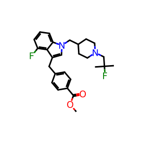 COC(=O)c1ccc(Cc2cn(CC3CCN(CC(C)(C)F)CC3)c3cccc(F)c23)cc1